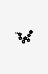 N#Cc1cccc(-c2cccc(-n3c4ccccc4c4c5c6ccccc6n(-c6ccc(-c7ccccc7)cc6)c5ccc43)c2)c1